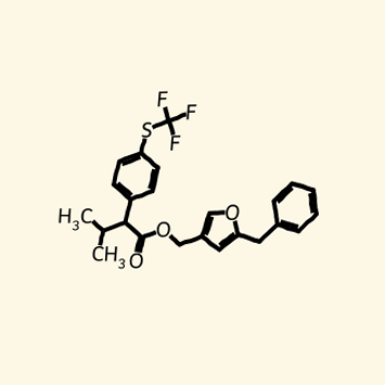 CC(C)C(C(=O)OCc1coc(Cc2ccccc2)c1)c1ccc(SC(F)(F)F)cc1